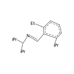 CCc1cccc(C(C)C)c1C=NC(C(C)C)C(C)C